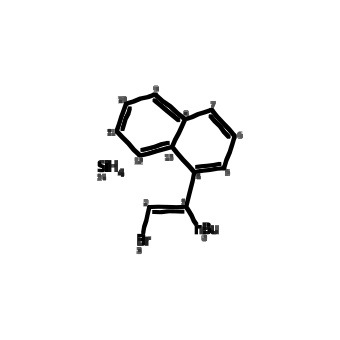 CCCCC(=CBr)c1cccc2ccccc12.[SiH4]